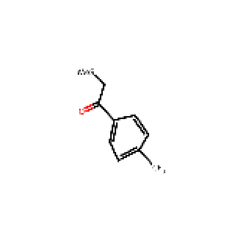 CSCC(=O)c1ccc(C(F)(F)F)cc1